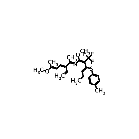 C=CC(=C\C=C(/C)OC)/C(C)=N/C(OC)=C(\C(=C\CC)Sc1ccc(C)cc1)C(F)(F)F